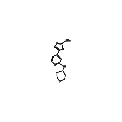 CSc1nnc(-c2ccnc(NC3CCOCC3)c2)o1